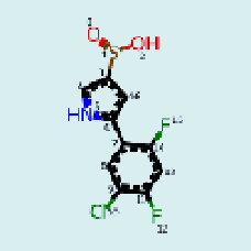 O=S(O)c1c[nH]c(-c2cc(Cl)c(F)cc2F)c1